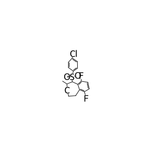 CC1CCCc2c(F)ccc(F)c2C1S(=O)(=O)c1ccc(Cl)cc1